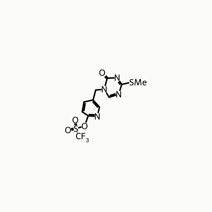 CSc1ncn(Cc2ccc(OS(=O)(=O)C(F)(F)F)nc2)c(=O)n1